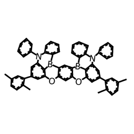 Cc1ccc(C)c(-c2cc3c4c(c2)N(c2ccccc2)c2ccccc2B4c2cc4c(cc2O3)Oc2cc(-c3cc(C)ccc3C)cc3c2B4c2ccccc2N3c2ccccc2)c1